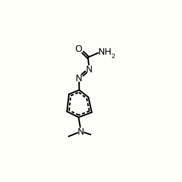 CN(C)c1ccc(N=NC(N)=O)cc1